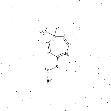 CC(C)SSC1=NC=CC(C)([N+](=O)[O-])C=C1